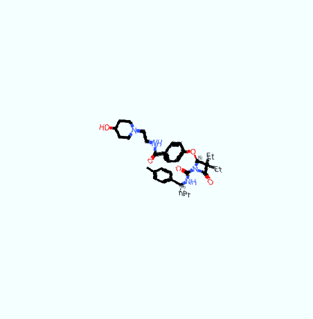 CCC[C@@H](NC(=O)N1C(=O)C(CC)(CC)[C@@H]1Oc1ccc(C(=O)NCCN2CCC(O)CC2)cc1)c1ccc(C)cc1